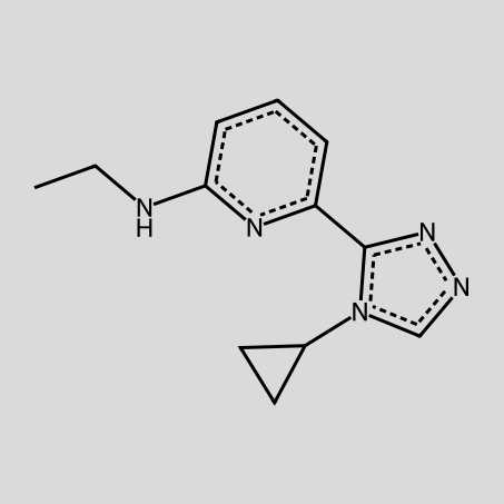 CCNc1cccc(-c2nncn2C2CC2)n1